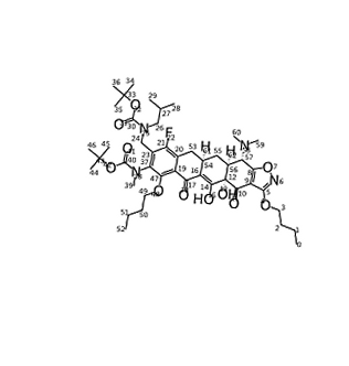 CCCCOc1noc2c1C(=O)[C@@]1(O)C(O)=C3C(=O)c4c(c(F)c(CN(CC(C)C)C(=O)OC(C)(C)C)c(N(C)C(=O)OC(C)(C)C)c4OCCCC)C[C@H]3C[C@H]1[C@@H]2N(C)C